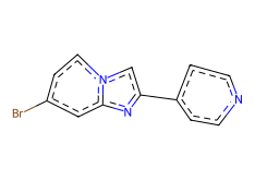 Brc1ccn2cc(-c3ccncc3)nc2c1